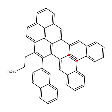 CCCCCCCCCCCCc1c(-c2ccc3ccccc3c2)c(-c2ccc3ccccc3c2)c2c(-c3ccc4ccccc4c3)cc3cccc4ccc1c2c43